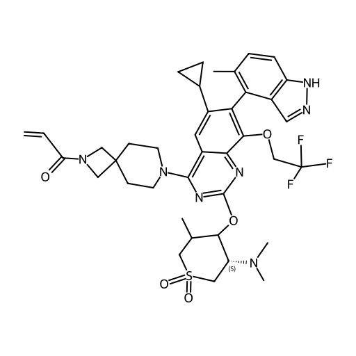 C=CC(=O)N1CC2(CCN(c3nc(OC4C(C)CS(=O)(=O)C[C@H]4N(C)C)nc4c(OCC(F)(F)F)c(-c5c(C)ccc6[nH]ncc56)c(C5CC5)cc34)CC2)C1